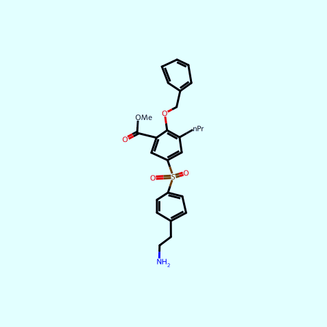 CCCc1cc(S(=O)(=O)c2ccc(CCN)cc2)cc(C(=O)OC)c1OCc1ccccc1